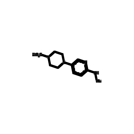 CCOC(=O)N1CCN(c2ccc(NC(C)(C)C)nc2)CC1